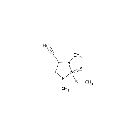 C#CC1CN(C)P(=S)(SC)N1C